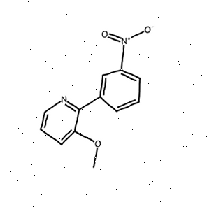 COc1cccnc1-c1cccc([N+](=O)[O-])c1